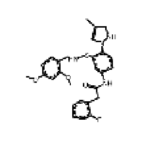 COc1ccc(CNSc2cc(NC(=O)Cc3ccccc3F)ccc2N2C=C(C)CN2)c(OC)c1